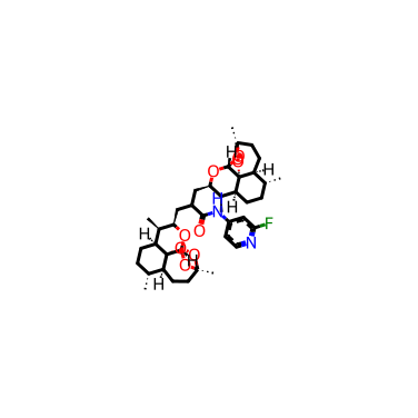 C[C@H]1[C@@H](CC(C[C@H]2O[C@@H]3O[C@]4(C)CC[C@H]5[C@H](C)CC[C@@H]([C@H]2C)[C@@]35OO4)C(=O)Nc2ccnc(F)c2)O[C@@H]2O[C@]3(C)CC[C@H]4[C@H](C)CC[C@@H]1[C@@]24OO3